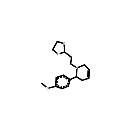 COc1ccc(C2CC=CCN2CCC2OCCO2)cc1